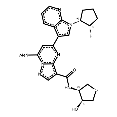 CNc1cc(-c2cn([C@@H]3CCC[C@@H]3F)c3ncccc23)nc2c(C(=O)N[C@H]3COC[C@H]3O)cnn12